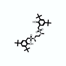 CN(CCN(C)S(=O)(=O)Cc1cc(C(C)(C)C)cc(C(C)(C)C)c1O)S(=O)(=O)Cc1cc(C(C)(C)C)cc(C(C)(C)C)c1O